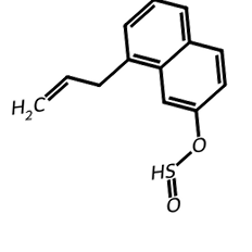 C=CCc1cccc2ccc(O[SH]=O)cc12